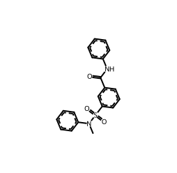 CN(c1ccccc1)S(=O)(=O)c1cccc(C(=O)Nc2ccccc2)c1